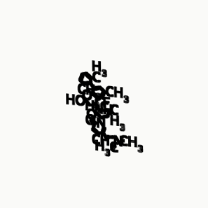 Cc1cc(=O)n(C(CC(C)C)C(=O)N[C@@H](CC(=O)O)c2cc(-c3c(C)cccc3C)cc(C)c2F)cc1CCN(C)C